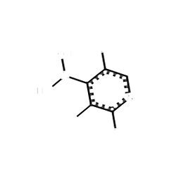 OB(O)c1c(Cl)cnc(F)c1F